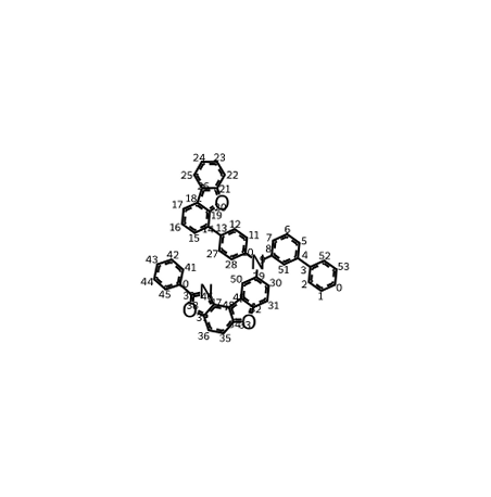 c1ccc(-c2cccc(N(c3ccc(-c4cccc5c4oc4ccccc45)cc3)c3ccc4oc5ccc6oc(-c7ccccc7)nc6c5c4c3)c2)cc1